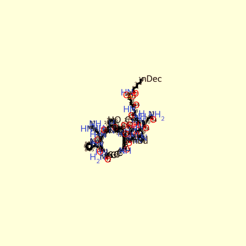 CCCCCCCCCCCCCCCC(=O)NS(=O)(=O)CCCC(=O)NCC(=O)N[C@@H](CCC(=O)O)C(=O)N[C@H](CCC(N)=O)C(=O)N[C@@H](Cc1c[nH]cn1)C(=O)N[C@@H](CO)C(=O)N[C@@H](CCCC)C(=O)N[C@H]1CCC(=O)NCCCC[C@@H](C(N)=O)NC(=O)[C@H](Cc2c[nH]c3ccccc23)NC(=O)[C@H](CCCNC(=N)N)NC(=O)[C@@H](Cc2ccccc2)NC(=O)[C@@H]2C[C@@H](O)CN2C1=O